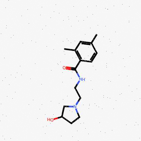 Cc1ccc(C(=O)NCCN2CCC(O)C2)c(C)c1